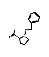 O=C(Cl)[C@@H]1CCCN1OCc1ccccc1